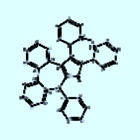 CN1C=CC=CC1c1c(C2C=CC=CN2)sc2c1-c1ccccc1-c1ccccc1N2c1ccccc1